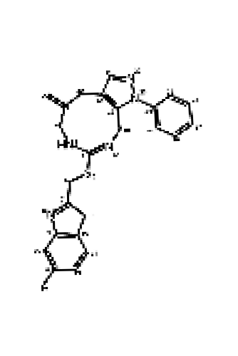 C=C1CN/C(SCC2=Nc3cc(C)ccc3C2)=N\Cc2c(cnn2-c2ccccc2)C1